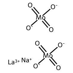 [La+3].[Na+].[O]=[Mo](=[O])([O-])[O-].[O]=[Mo](=[O])([O-])[O-]